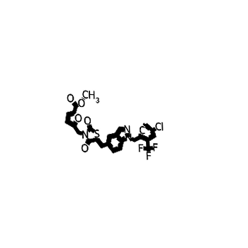 COC(=O)c1ccc(CN2C(=O)SC(=Cc3ccc4c(cnn4Cc4ccc(Cl)cc4C(F)(F)F)c3)C2=O)o1